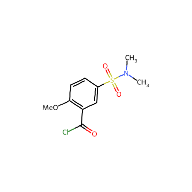 COc1ccc(S(=O)(=O)N(C)C)cc1C(=O)Cl